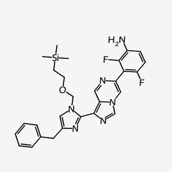 C[Si](C)(C)CCOCn1cc(Cc2ccccc2)nc1-c1ncn2cc(-c3c(F)ccc(N)c3F)ncc12